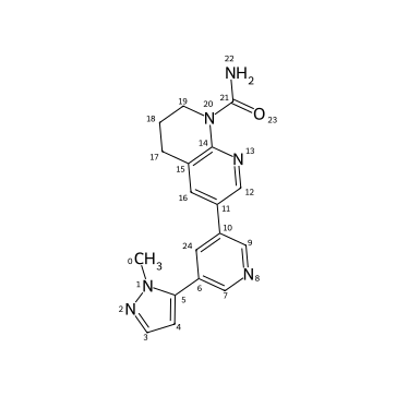 Cn1nccc1-c1cncc(-c2cnc3c(c2)CCCN3C(N)=O)c1